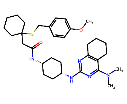 COc1ccc(CSC2(CC(=O)N[C@H]3CC[C@@H](Nc4nc5c(c(N(C)C)n4)CCCC5)CC3)CCCCC2)cc1